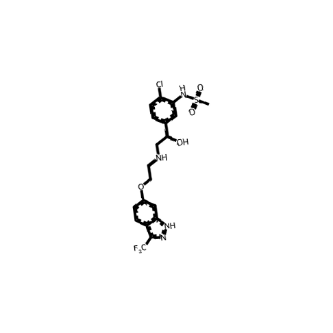 CS(=O)(=O)Nc1cc(C(O)CNCCOc2ccc3c(C(F)(F)F)n[nH]c3c2)ccc1Cl